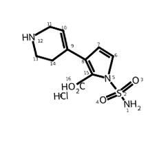 Cl.NS(=O)(=O)n1ccc(C2=CCNCC2)c1C(=O)O